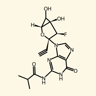 C#C[C@@]1(n2cnc3c(=O)[nH]c(NC(=O)C(C)C)nc32)O[C@@H]2C(O)[C@]2(O)[C@H]1F